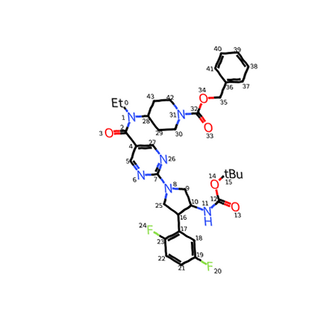 CCN(C(=O)c1cnc(N2CC(NC(=O)OC(C)(C)C)C(c3cc(F)ccc3F)C2)nc1)C1CCN(C(=O)OCc2ccccc2)CC1